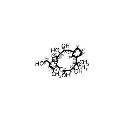 CC[C@H](/C=C(/C)[C@@H]1C[C@H](O)C[C@H](O)C(C)(C)c2cccc(c2)C[C@@H](O)[C@H](O)C(=O)O1)CO